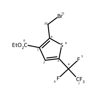 CCOC(=O)c1cc(C(F)(F)C(F)(F)F)sc1CBr